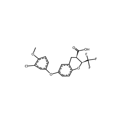 COc1ccc(Oc2ccc3c(c2)C[C@@H](C(=O)O)[C@@H](C(F)(F)F)O3)cc1Cl